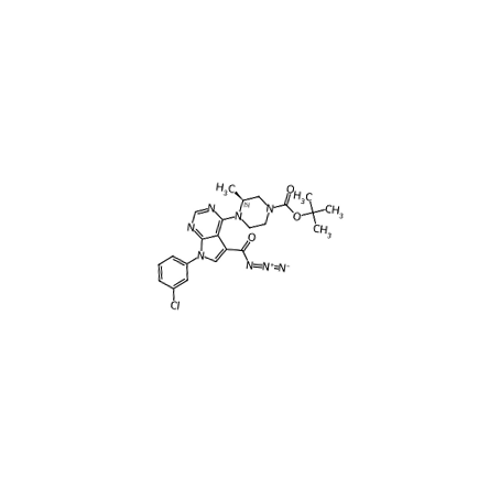 C[C@H]1CN(C(=O)OC(C)(C)C)CCN1c1ncnc2c1c(C(=O)N=[N+]=[N-])cn2-c1cccc(Cl)c1